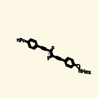 CCCCCCOc1ccc(C#C/C(F)=C(\F)C#Cc2ccc(CCC)cc2)cc1